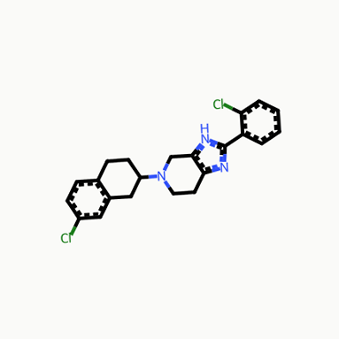 Clc1ccc2c(c1)CC(N1CCc3nc(-c4ccccc4Cl)[nH]c3C1)CC2